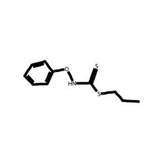 CCCSC(=S)NOc1ccccc1